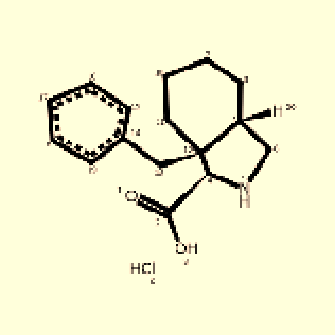 Cl.O=C(O)[C@@H]1NC[C@H]2CCCC[C@]21Cc1ccccc1